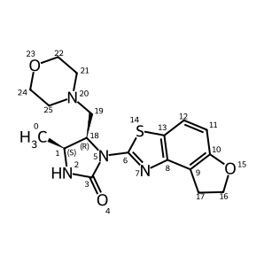 C[C@@H]1NC(=O)N(c2nc3c4c(ccc3s2)OCC4)[C@@H]1CN1CCOCC1